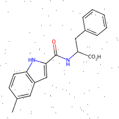 Cc1ccc2[nH]c(C(=O)NC(Cc3ccccc3)C(=O)O)cc2c1